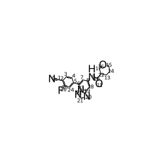 N#Cc1ccc(-c2cc(NC(=O)C3CCCOC3)cc3ncnn23)cc1F